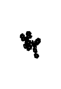 c1ccc(-c2ccc(-c3nc(-c4ccccc4)nc(-c4cc(-n5c6ccc7ccccc7c6c6c7ccccc7ccc65)cc5oc6ccccc6c45)n3)cc2)cc1